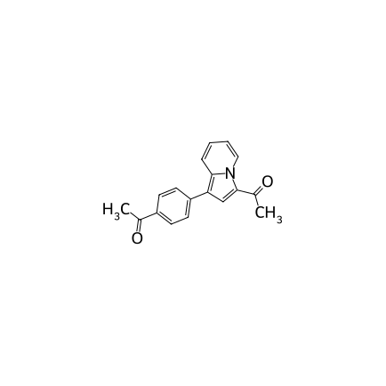 CC(=O)c1ccc(-c2cc(C(C)=O)n3ccccc23)cc1